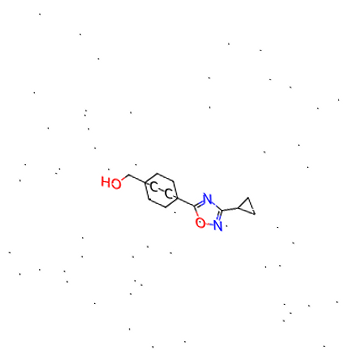 OCC12CCC(c3nc(C4CC4)no3)(CC1)CC2